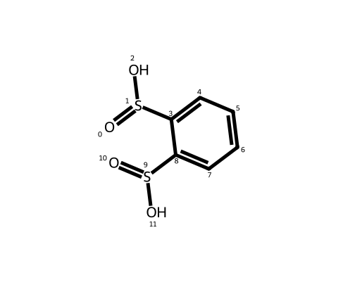 O=S(O)c1ccccc1S(=O)O